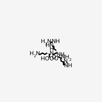 N=C(N)NCCC[C@H](NC(=O)[C@@H](N)Cc1c[nH]cn1)C(=O)N[C@@H](CCCCN)C(=O)O